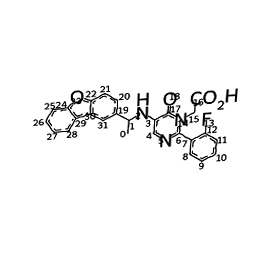 CC(Nc1cnc(-c2ccccc2F)n(CC(=O)O)c1=O)c1ccc2oc3ccccc3c2c1